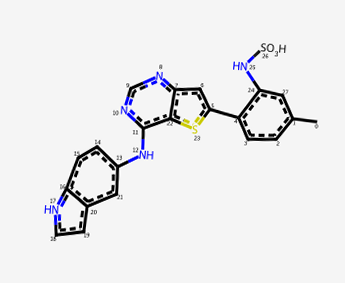 Cc1ccc(-c2cc3ncnc(Nc4ccc5[nH]ccc5c4)c3s2)c(NS(=O)(=O)O)c1